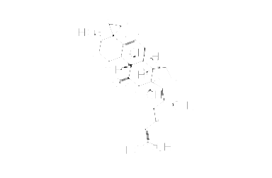 CC(C)=CCC[C@@H](C)[C@H]1CC[C@H]2[C@@H]3CC=C4C5(CC5)[C@@H](O)CC[C@]4(C)[C@H]3C(=O)C[C@]12C